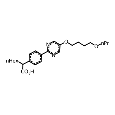 CCCCCCC(C(=O)O)c1ccc(-c2ncc(OCCCCOCCC)cn2)cc1